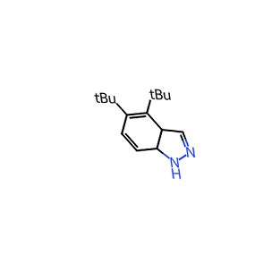 CC(C)(C)C1=C(C(C)(C)C)C2C=NNC2C=C1